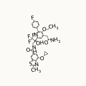 CCOc1c(CC(N)=O)cc([C@@](O)(CNC(=O)c2cc(OC3CC3)c3nc(C)sc3c2)C(F)(F)F)nc1-c1ccc(F)cc1